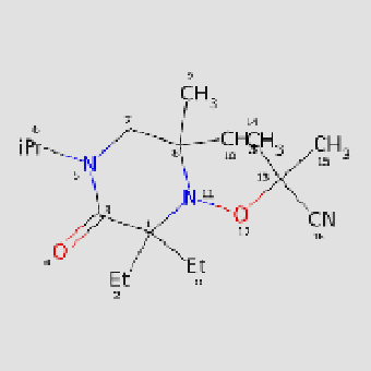 CCC1(CC)C(=O)N(C(C)C)CC(C)(C)N1OC(C)(C)C#N